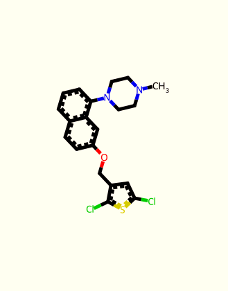 CN1CCN(c2cccc3ccc(OCc4cc(Cl)sc4Cl)cc23)CC1